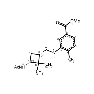 COC(=O)c1ccc(C(F)(F)F)c(NC[C@H]2C[C@@H](NC(C)=O)C2(C)C)c1